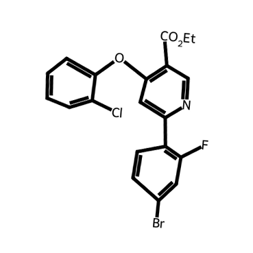 CCOC(=O)c1cnc(-c2ccc(Br)cc2F)cc1Oc1ccccc1Cl